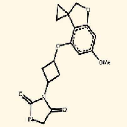 COc1cc2c(c(OC3CC(N4C(=O)CNC4=O)C3)c1)C1(CC1)CO2